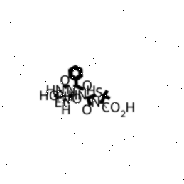 CC[PH]1(O)NC(=O)N(C(C(=O)N[C@@H]2C(=O)N3[C@@H]2SC(C)(C)[C@@H]3C(=O)O)c2ccccc2)C(=O)N1